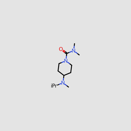 CC(C)N(C)C1CCN(C(=O)N(C)C)CC1